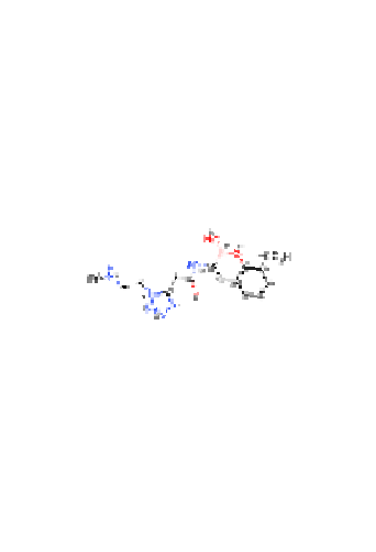 CC(C)NCCn1nnnc1CC(=O)N[C@H]1Cc2cccc(C(=O)O)c2OB1O